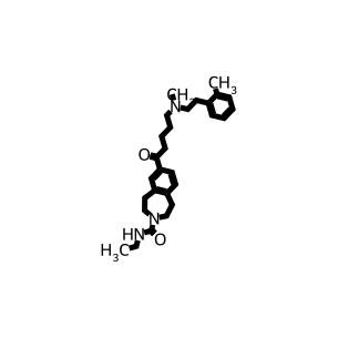 CCNC(=O)N1CCc2ccc(C(=O)CCCCN(C)CCc3ccccc3C)cc2CC1